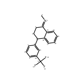 CN=C1CCC(c2cccc(C(F)(F)F)c2)c2ccccc21